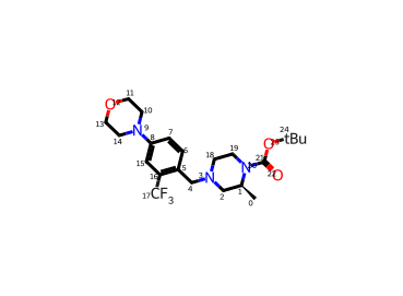 C[C@H]1CN(Cc2ccc(N3CCOCC3)cc2C(F)(F)F)CCN1C(=O)OC(C)(C)C